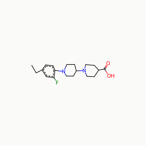 CCc1ccc(N2CCC(N3CCC(C(=O)O)CC3)CC2)c(F)c1